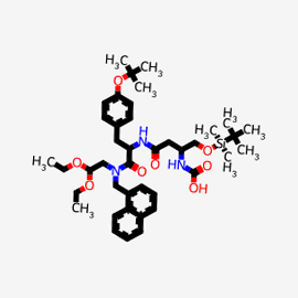 CCOC(CN(Cc1cccc2ccccc12)C(=O)C(Cc1ccc(OC(C)(C)C)cc1)NC(=O)CC(CO[Si](C)(C)C(C)(C)C)NC(=O)O)OCC